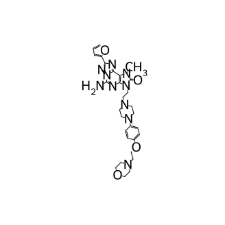 Cn1c(=O)n(CCN2CCN(c3ccc(OCCN4CCOCC4)cc3)CC2)c2nc(N)n3nc(-c4ccco4)nc3c21